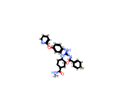 CC(C)NC(=O)C1CCC(n2/c(=N\C(=O)c3ccc(F)cc3)[nH]c3ccc(Oc4ccccn4)cc32)CC1